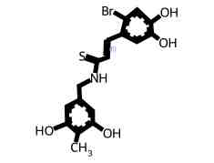 Cc1c(O)cc(CNC(=S)/C=C/c2cc(O)c(O)cc2Br)cc1O